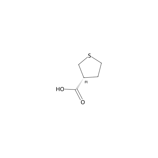 O=C(O)[C@H]1CCSC1